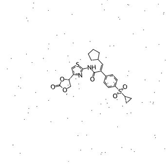 O=C1OCC(c2csc(NC(=O)C(=CC3CCCC3)c3ccc(S(=O)(=O)C4CC4)cc3)n2)O1